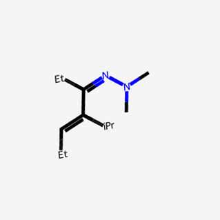 CC/C=C(/C(CC)=N\N(C)C)C(C)C